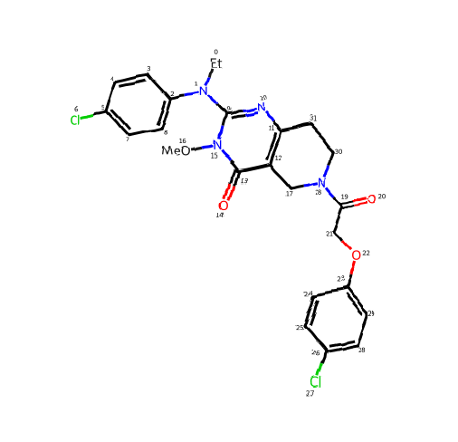 CCN(c1ccc(Cl)cc1)c1nc2c(c(=O)n1OC)CN(C(=O)COc1ccc(Cl)cc1)CC2